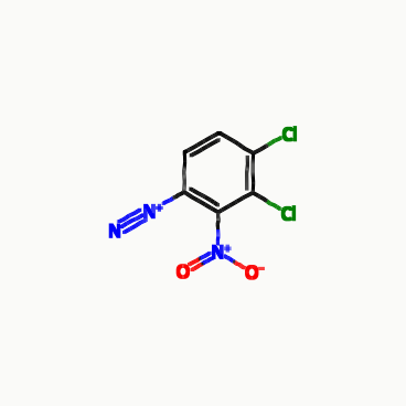 N#[N+]c1ccc(Cl)c(Cl)c1[N+](=O)[O-]